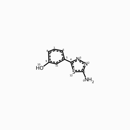 Nc1nnc(-c2cccc(O)c2)s1